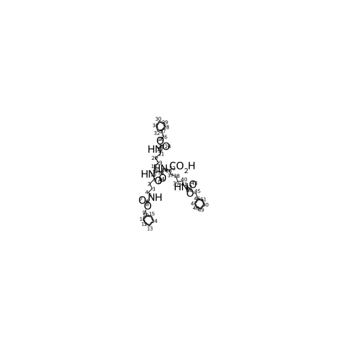 O=C(CCCNC(=O)OCc1ccccc1)NC(CCCCNC(=O)OCc1ccccc1)C(=O)N[C@@H](CCCCNC(=O)OCc1ccccc1)C(=O)O